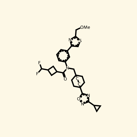 COCc1nc(-c2cccc(N(CC34CCC(c5nc(C6CC6)no5)(CC3)CC4)C(=O)C3CC(C(F)F)C3)c2)cs1